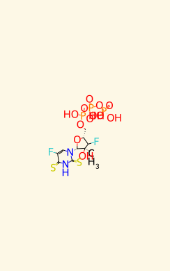 C[C@@]1(O)C(F)[C@@H](COP(=O)(O)OP(=O)(O)OP(=O)(O)O)O[C@H]1n1cc(F)c(=S)[nH]c1=S